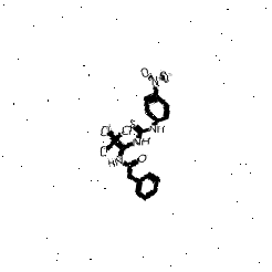 O=C(Cc1ccccc1)NC(NC(=S)Nc1ccc([N+](=O)[O-])cc1)C(Cl)(Cl)Cl